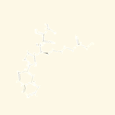 CCC(=O)CCCCC[C@H](NC(=O)C(=O)N(C)C)c1ncc(-c2ccc3ccccc3c2)o1